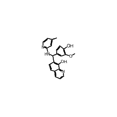 COc1cc(C(Nc2cc(C)ccn2)c2ccc3cccnc3c2O)ccc1O